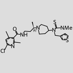 CNC(=S)N(Cc1ccsc1)C1CCN([C@H](C)CCNC(=O)c2c(C)cc(Cl)nc2C)CC1